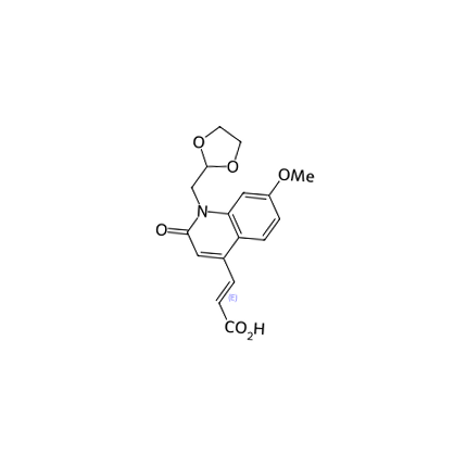 COc1ccc2c(/C=C/C(=O)O)cc(=O)n(CC3OCCO3)c2c1